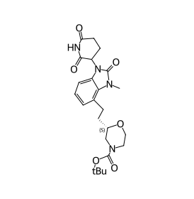 Cn1c(=O)n(C2CCC(=O)NC2=O)c2cccc(CC[C@H]3CN(C(=O)OC(C)(C)C)CCO3)c21